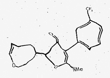 CNC1=C(c2cccc(C(F)(F)F)c2)C(=O)C(C2CC=COC2)O1